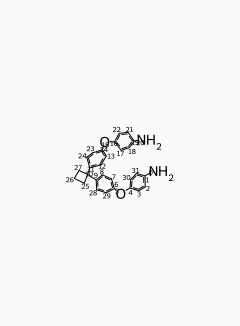 Nc1ccc(Oc2ccc(C3(c4ccc(Oc5ccc(N)cc5)cc4)CCC3)cc2)cc1